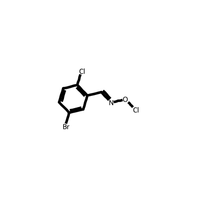 ClON=Cc1cc(Br)ccc1Cl